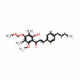 CCCCc1ccc(/C=C/C(=O)c2c(O)c(C)c(OCOC)c(C)c2OC)cc1